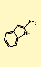 Bc1cc2ccccc2[nH]1